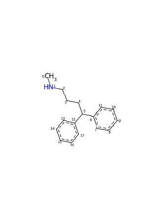 CNCCCC(c1ccccc1)c1ccccc1